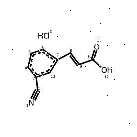 Cl.N#Cc1cccc(C=CC(=O)O)c1